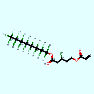 C=CC(=O)OCCC(F)CC(=O)OC(F)(F)C(F)(F)C(F)(F)C(F)(F)C(F)(F)C(F)(F)C(F)(F)C(F)(F)F